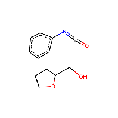 O=C=Nc1ccccc1.OCC1CCCO1